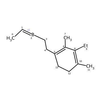 C/C=B\CCC1=C(C)C(CC)=C(C)CC1